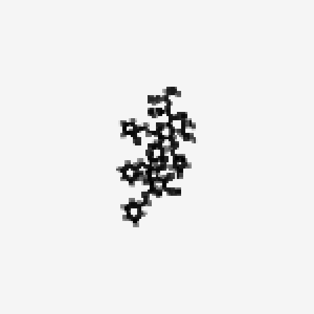 CC(C)C[C@H](N)[C@@H](O)C[C@H](C(=O)N(C(=O)CCN1CCCC1=O)C(=O)[C@H](Cc1c[nH]cn1)NC(=O)[C@@](N)(Cc1ccccc1)C(=O)C(NC(=O)OCc1ccccc1)C(=O)CO)C(C)C